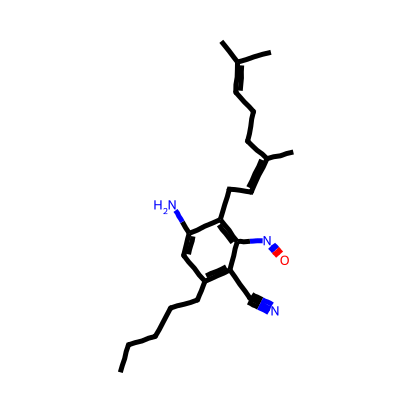 CCCCCc1cc(N)c(C/C=C(/C)CCC=C(C)C)c(N=O)c1C#N